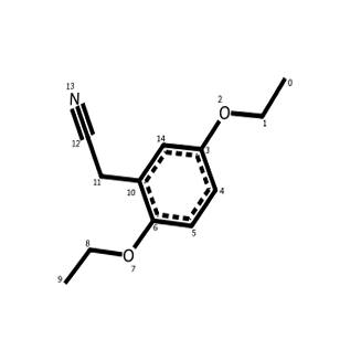 CCOc1ccc(OCC)c(CC#N)c1